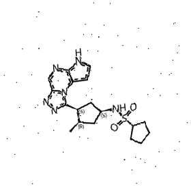 C[C@@H]1C[C@H](NS(=O)(=O)C2CCCC2)C[C@@H]1c1nnc2cnc3[nH]ccc3n12